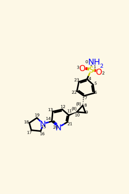 NS(=O)(=O)c1ccc([C@@H]2C[C@H]2c2ccc(N3CCCC3)nc2)cc1